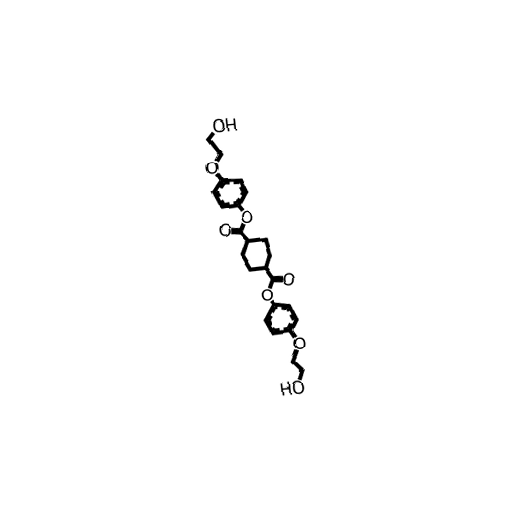 O=C(Oc1ccc(OCCO)cc1)C1CCC(C(=O)Oc2ccc(OCCO)cc2)CC1